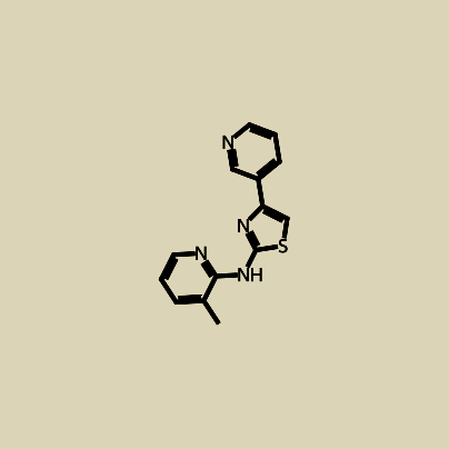 Cc1cccnc1Nc1nc(-c2cccnc2)cs1